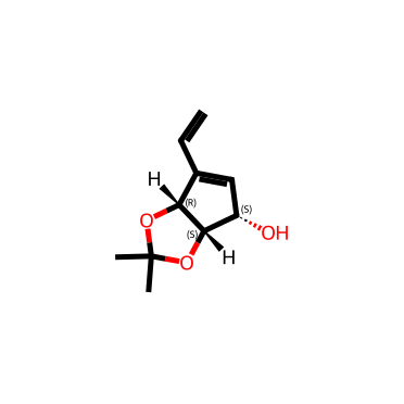 C=CC1=C[C@H](O)[C@@H]2OC(C)(C)O[C@H]12